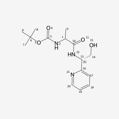 CC(NC(=O)OC(C)(C)C)C(=O)N[C@H](CO)c1ccccn1